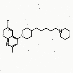 Cc1cc(N2CCC(CCCCCN3CCCCC3)CC2)c2cc(F)ccc2n1